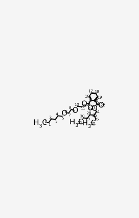 CCCCCCOCCOCCOC(=O)c1ccccc1C(=O)OCC(CC)CCCC